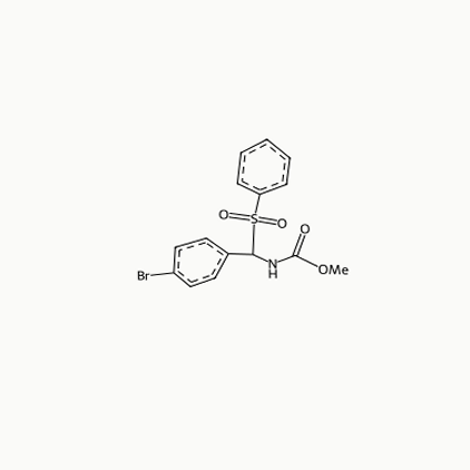 COC(=O)NC(c1ccc(Br)cc1)S(=O)(=O)c1ccccc1